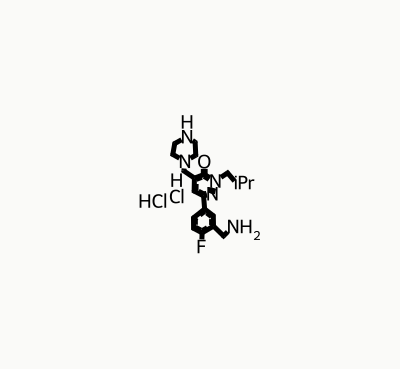 CC(C)Cn1nc(-c2ccc(F)c(CN)c2)cc(CN2CCNCC2)c1=O.Cl.Cl